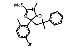 CSC1=N[C@@](CC(C)(C)c2ccccc2)(c2cc(Br)ccc2C)C(=O)N1C